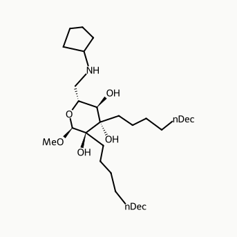 CCCCCCCCCCCCCC[C@]1(O)[C@@H](OC)O[C@H](CNC2CCCC2)[C@@H](O)[C@@]1(O)CCCCCCCCCCCCCC